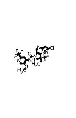 C=C[C@@]1(C(F)(F)F)CN(C(=O)Nc2cc(C(F)(F)F)ncc2OC)c2cnc3cc(Cl)nn3c21